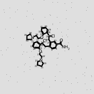 NC(=O)c1ccc(CC(Cl)c2ccccc2OCCN2CCCC2)c(CC(Cl)c2ccccc2OCCN2CCCC2)c1